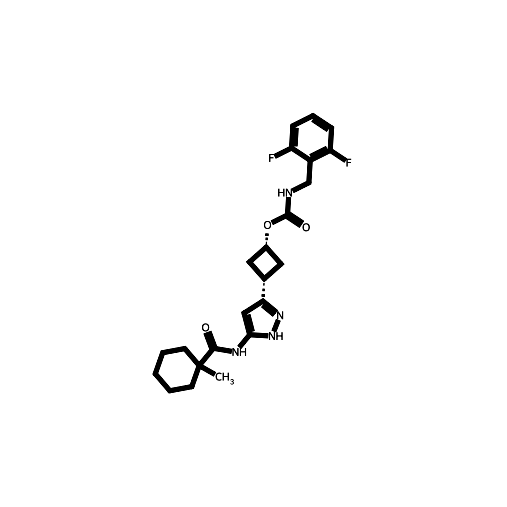 CC1(C(=O)Nc2cc([C@H]3C[C@@H](OC(=O)NCc4c(F)cccc4F)C3)n[nH]2)CCCCC1